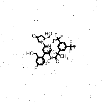 CN(C(=O)C(C)(C)c1cc(C(F)(F)F)cc(C(F)(F)F)c1)c1cnc(N2CC(=O)C[C@H]2CO)cc1-c1ccc(F)cc1CO